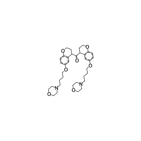 O=C(C1CCOc2ccc(OCCCCN3CCOCC3)cc21)C1CCOc2ccc(OCCCCN3CCOCC3)cc21